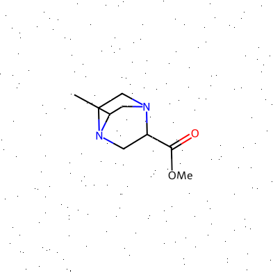 COC(=O)C1CN2CCN1CC2C